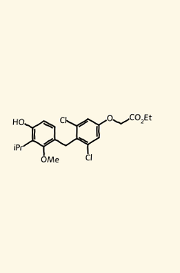 CCOC(=O)COc1cc(Cl)c(Cc2ccc(O)c(C(C)C)c2OC)c(Cl)c1